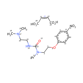 CC(C)N(CCOc1ccc([N+](=O)[O-])cc1)C(=O)NCCN(C)C.O=C(O)/C=C\C(=O)O